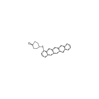 O=C1CCC(Sc2cccc3cc4cc5cc6ccccc6cc5cc4cc23)CC1